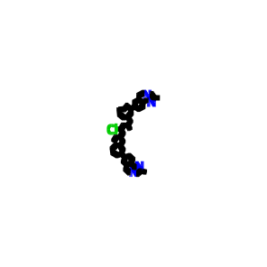 C=C/C(=C\C(Cl)=C/C(C)CC1=C/C(c2ccc3c(ccn4cc(C)nc34)c2)C/C=C/C=C\1)CC1=CC(c2ccc3c(ccn4cc(C)nc34)c2)C=CC=C1